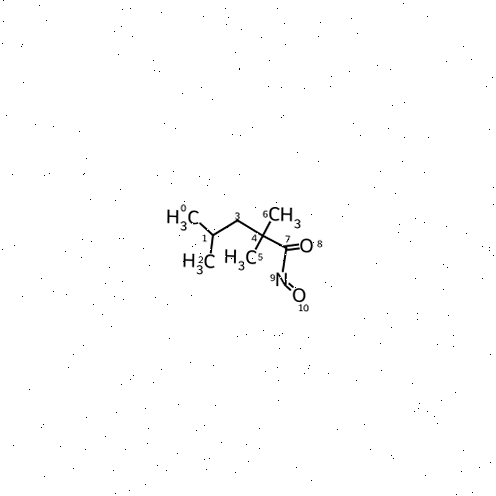 CC(C)CC(C)(C)C(=O)N=O